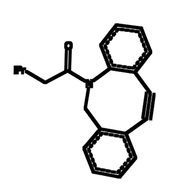 CC(C)CC(=O)N1Cc2ccccc2C#Cc2ccccc21